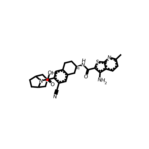 Cc1ccc2c(N)c(C(=O)N[C@@H]3CCc4cc(N5CC6CCC(C5)N6C(=O)O)c(C#N)cc4C3)sc2n1